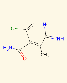 CC1=C(C(N)=O)C(Cl)=C[N]C1=N